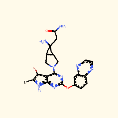 CCc1[nH]c2nc(Oc3ccc4nccnc4c3)nc(N3CC4C(C3)C4(N)CC(N)=O)c2c1Br